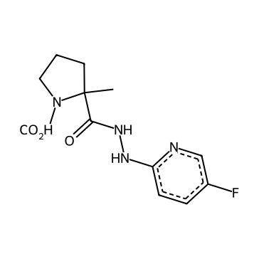 CC1(C(=O)NNc2ccc(F)cn2)CCCN1C(=O)O